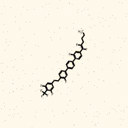 CCCC/C(F)=C(\F)c1ccc(-c2ccc(-c3ccc(CCc4cc(F)c(C(F)(F)F)c(F)c4)c(F)c3)cc2)c(F)c1